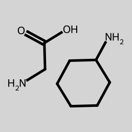 NC1CCCCC1.NCC(=O)O